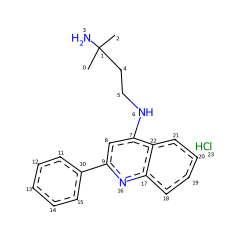 CC(C)(N)CCNc1cc(-c2ccccc2)nc2ccccc12.Cl